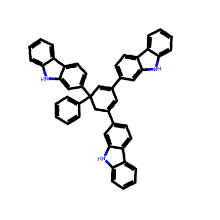 C1=C(c2ccc3c(c2)[nH]c2ccccc23)C=C(c2ccc3c(c2)[nH]c2ccccc23)CC1(c1ccccc1)c1ccc2c(c1)[nH]c1ccccc12